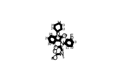 COC(=O)N(C)CC(=O)N(c1cccc(F)c1)C1C(=O)N(C2CCCCC2)c2ccccc21